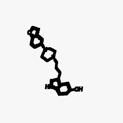 Oc1ccc2[nH]cc(CCCN3CCN(c4ccc5occc5c4)CC3)c2c1